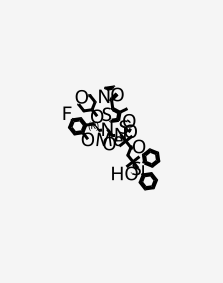 COc1ccc(F)cc1[C@H](CN1C(=O)N(C(C)(C)C(=O)CC(C)(C)[Si](O)(c2ccccc2)c2ccccc2)S(=O)(=O)c2c1sc(-c1ncco1)c2C)OC1CCOCC1